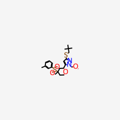 COCn1nc(SCC(C)(C)C)cc1C1CC(C)(S(=O)(=O)c2cccc(C)c2)CCO1